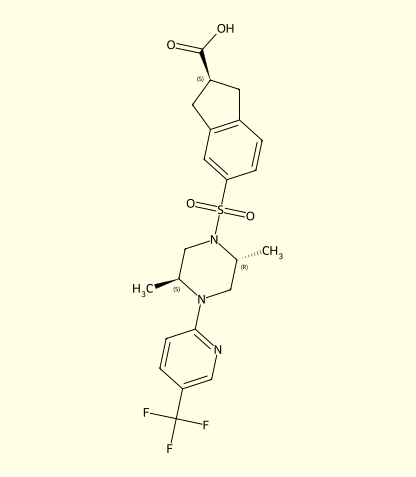 C[C@@H]1CN(c2ccc(C(F)(F)F)cn2)[C@@H](C)CN1S(=O)(=O)c1ccc2c(c1)C[C@@H](C(=O)O)C2